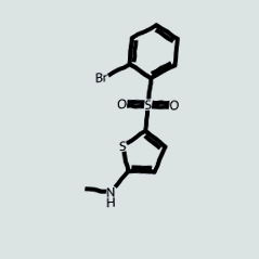 CNc1ccc(S(=O)(=O)c2ccccc2Br)s1